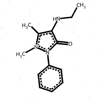 CCNc1c(C)n(C)n(-c2ccccc2)c1=O